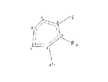 [CH2]c1cccc([CH2])c1F